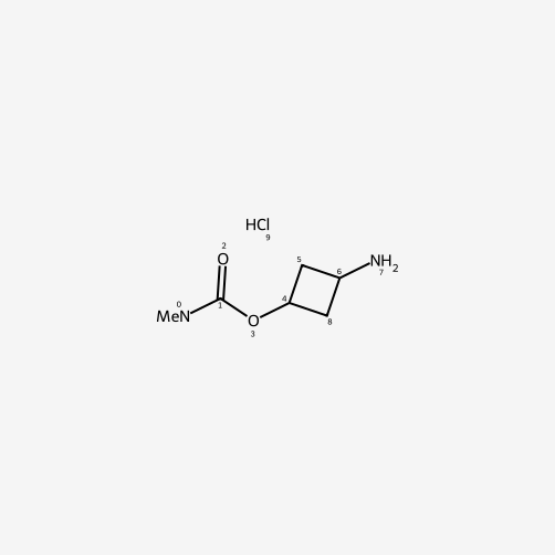 CNC(=O)OC1CC(N)C1.Cl